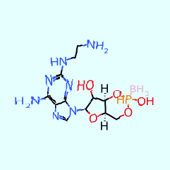 B[PH]1(O)OC[C@H]2O[C@@H](n3cnc4c(N)nc(NCCN)nc43)C(O)[C@H]2O1